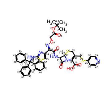 CC(C)(C)OC(=O)CO/N=C(\C(=O)N[C@@H]1C(=O)N2C(C(=O)O)=C(CSc3ccncc3)CS[C@H]12)c1csc(NC(c2ccccc2)(c2ccccc2)c2ccccc2)n1